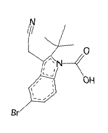 CC(C)(C)c1c(CC#N)c2cc(Br)ccc2n1C(=O)O